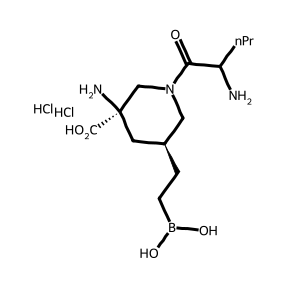 CCCC(N)C(=O)N1C[C@@H](CCB(O)O)C[C@](N)(C(=O)O)C1.Cl.Cl